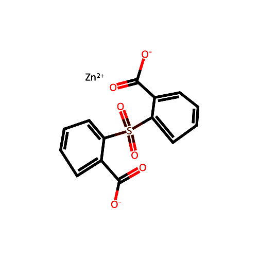 O=C([O-])c1ccccc1S(=O)(=O)c1ccccc1C(=O)[O-].[Zn+2]